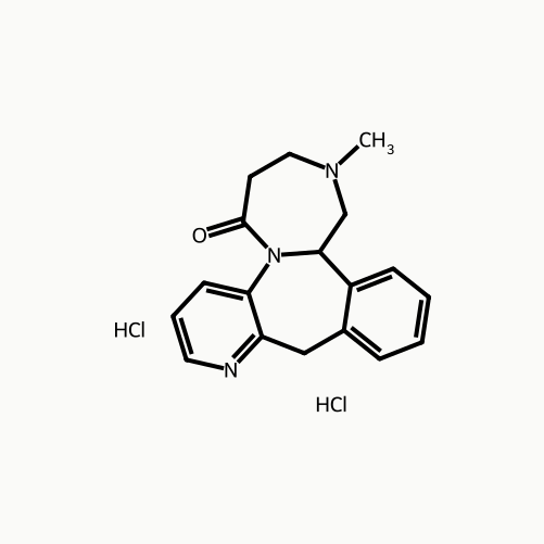 CN1CCC(=O)N2c3cccnc3Cc3ccccc3C2C1.Cl.Cl